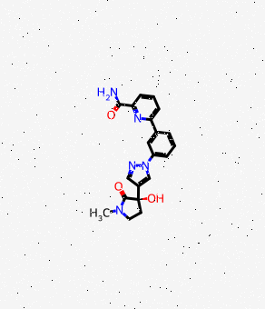 CN1CC[C@@](O)(c2cnn(-c3cccc(-c4cccc(C(N)=O)n4)c3)c2)C1=O